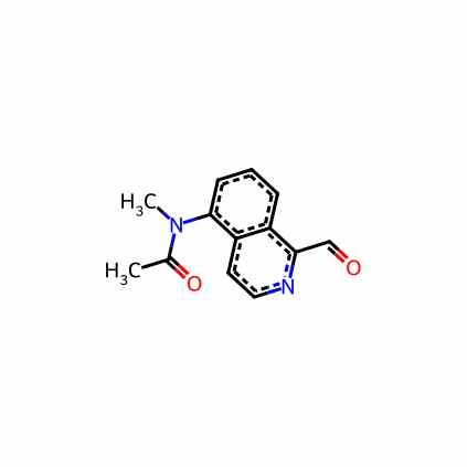 CC(=O)N(C)c1cccc2c(C=O)nccc12